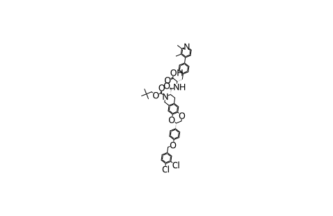 Cc1nccc(-c2ccc(C[C@H](NC(=O)[C@@H]3Cc4cc5c(cc4CN3C(=O)OCC(C)(C)C)O[C@@H](c3ccc(OCc4ccc(Cl)c(Cl)c4)cc3)CO5)C(=O)O)cc2)c1C